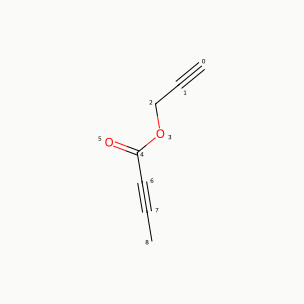 C#CCOC(=O)C#CC